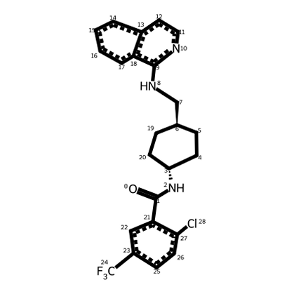 O=C(N[C@H]1CC[C@H](CNc2nccc3ccccc23)CC1)c1cc(C(F)(F)F)ccc1Cl